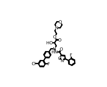 O=C(NN(Cc1ccc(-c2cc(Cl)ccc2F)cc1)CC(O)C(=O)OCCN1CCOCC1)c1cc(-c2ccccc2F)no1